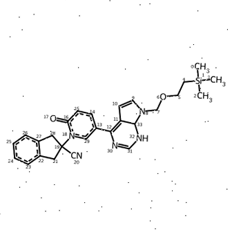 C[Si](C)(C)CCOCN1C=CC2=C(c3ccc(=O)n(C4(C#N)Cc5ccccc5C4)c3)N=CNC21